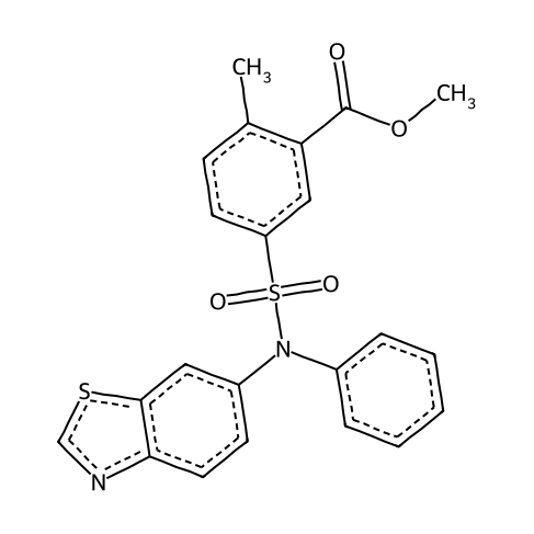 COC(=O)c1cc(S(=O)(=O)N(c2ccccc2)c2ccc3ncsc3c2)ccc1C